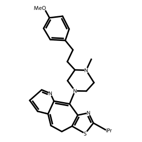 COc1ccc(CCC2CN(C3=c4ncccc4=CCc4sc(C(C)C)nc43)CCN2C)cc1